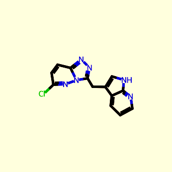 Clc1ccc2nnc(Cc3c[nH]c4ncccc34)n2n1